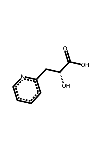 O=C(O)[C@H](O)Cc1ccccn1